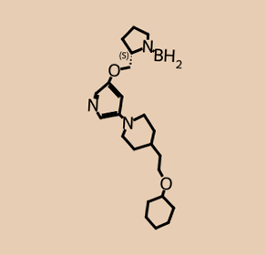 BN1CCC[C@H]1COc1cncc(N2CCC(CCOC3CCCCC3)CC2)c1